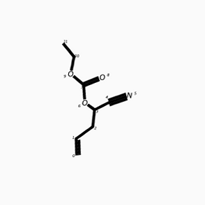 C=CCC(C#N)OC(=O)OCC